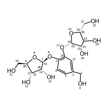 OCc1ccc(O[C@@H]2O[C@H](CO)[C@@H](O)[C@H]2O)c(O[C@@H]2O[C@H](CO)C(O)[C@@H]2O)c1